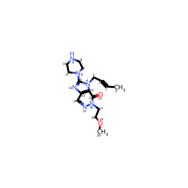 CC#CCn1c(N2CCNCC2)nc2cnn(CCOC)c(=O)c21